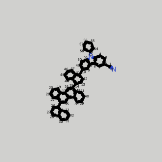 N#Cc1ccc2c(c1)c1cc(-c3ccc(-c4cc5c6ccccc6c(-c6cccc7ccccc67)cc5c5ccccc45)c4ccccc34)ccc1n2-c1ccccc1